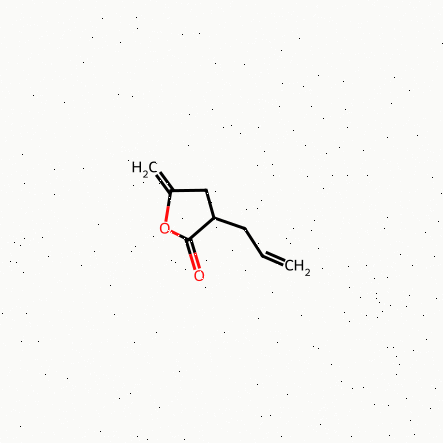 C=CCC1CC(=C)OC1=O